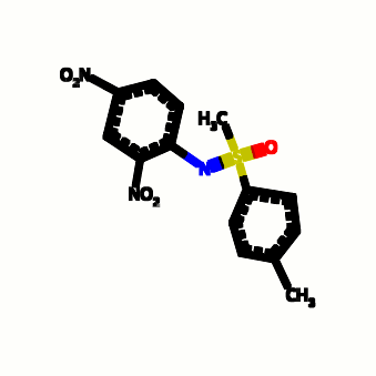 Cc1ccc(S(C)(=O)=Nc2ccc([N+](=O)[O-])cc2[N+](=O)[O-])cc1